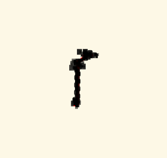 CCCN(CCC)C(=O)C1=Cc2sc(CCCCCN/C(=N/CC)NCC(O)C(O)COCCOCCOCCOCCOCCOCCOCCOCCC(=O)Oc3c(F)c(F)cc(F)c3F)cc2N=C(N)C1